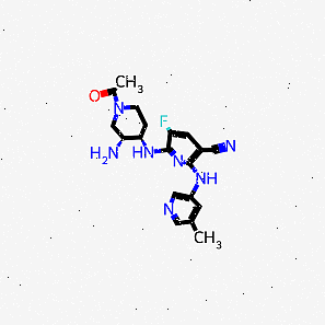 CC(=O)N1CC[C@@H](Nc2nc(Nc3cncc(C)c3)c(C#N)cc2F)[C@@H](N)C1